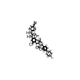 COc1cc(CC(N(Cc2ccc(N3CCN(C)CC3)cc2)C(=O)O)C(C)(C)C)c(Cl)cc1NC(=O)Nc1cnc(C#N)cn1